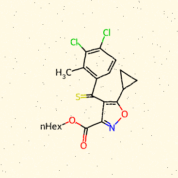 CCCCCCOC(=O)c1noc(C2CC2)c1C(=S)c1ccc(Cl)c(Cl)c1C